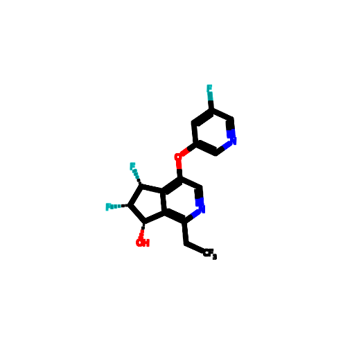 O[C@H]1c2c(CC(F)(F)F)ncc(Oc3cncc(F)c3)c2[C@@H](F)[C@H]1F